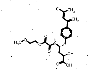 C=C(/C=C(\C)Cl)c1ccc(C[C@H](C[C@@H](O)C(=O)O)NC(=O)C(=O)OCCOC)cc1